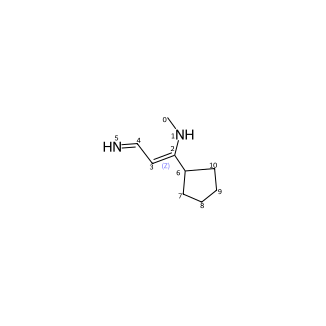 CN/C(=C\C=N)C1CCCC1